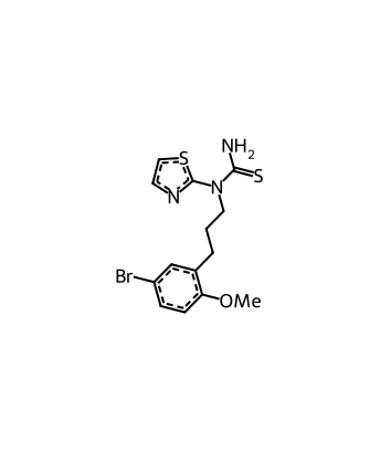 COc1ccc(Br)cc1CCCN(C(N)=S)c1nccs1